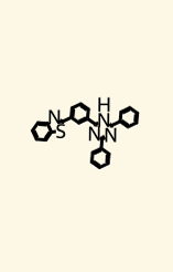 c1ccc(C2=NC(c3ccccc3)NC(c3cccc(-c4nc5ccccc5s4)c3)=N2)cc1